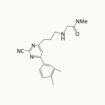 CNC(=O)CNCCCc1cc(-c2ccc(C)c(C)c2)nc(C#N)n1